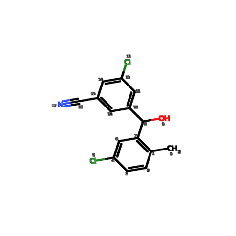 Cc1ccc(Cl)cc1C(O)c1cc(Cl)cc(C#N)c1